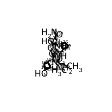 CC(C)C[C@H](N)C(=O)N[C@@H](Cc1ccc(O)cc1)C(=O)N[C@@H](Cc1ccccc1)C(=O)N[C@@H](CCC(N)=O)C(=O)O